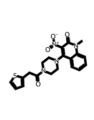 Cn1c(=O)c([N+](=O)[O-])c(N2CCN(C(=O)Cc3cccs3)CC2)c2ccccc21